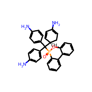 CC1(C(c2ccc(N)cc2)(c2ccc(N)cc2)P2(=O)Oc3ccccc3-c3ccccc32)C=CC(N)=CC1